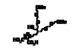 COCCOCCOCCC(CO)C(CCCn1nnc(C(=O)O)c1C(=O)O)CCOCCOCCOC